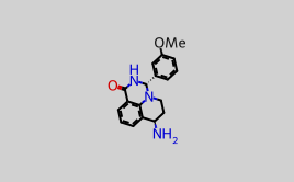 COc1cccc([C@H]2NC(=O)c3cccc4c3N2CC[C@H]4N)c1